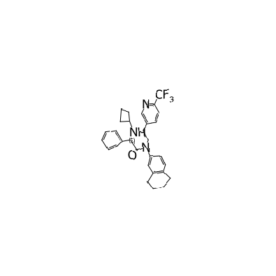 O=C([C@@H](NC1CCC1)c1ccccc1)N(CCc1ccc(C(F)(F)F)nc1)c1ccc2c(c1)CCCC2